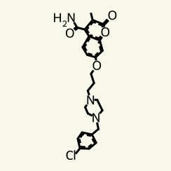 Cc1c(C(N)=O)c2ccc(OCCCN3CCN(Cc4ccc(Cl)cc4)CC3)cc2oc1=O